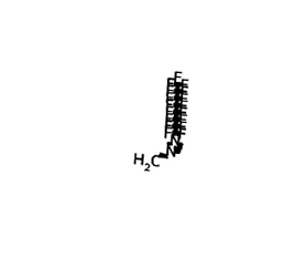 C=CC[n+]1ccn(C(F)(F)C(F)(F)C(F)(F)C(F)(F)C(F)(F)C(F)(F)C(F)(F)C(F)(F)F)c1